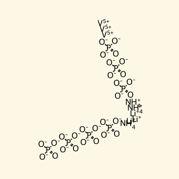 O=P([O-])([O-])[O-].O=P([O-])([O-])[O-].O=P([O-])([O-])[O-].O=P([O-])([O-])[O-].O=P([O-])([O-])[O-].O=P([O-])([O-])[O-].O=P([O-])([O-])[O-].[Li+].[Li+].[Li+].[NH4+].[NH4+].[NH4+].[V+5].[V+5].[V+5]